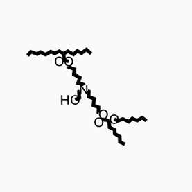 CCCCCCCCC(CCCCCC)C(=O)OCCCCCCN(CCO)CCCCCCOC(=O)C(CCCCCC)OCCCCCCC